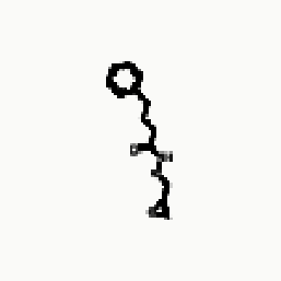 O=C(CCCc1ccccc1)NOCC1CO1